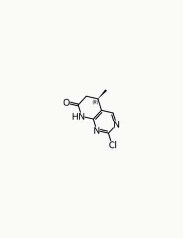 C[C@@H]1CC(=O)Nc2nc(Cl)ncc21